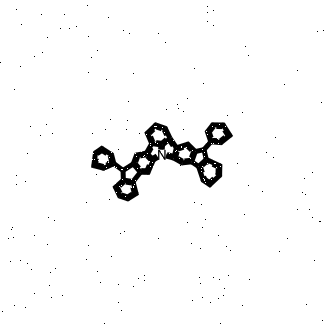 c1ccc(C2c3ccccc3-c3cc4c(cc32)c2cccc3c5cc6c(cc5n4c23)-c2ccccc2C6c2ccccc2)cc1